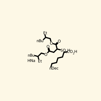 CCCCC(CC)COC(=O)CC(C(=O)OCC(CC)CCCC)S(=O)(=O)O.CCCCCCCCCCCCCCCC(=O)O.[NaH]